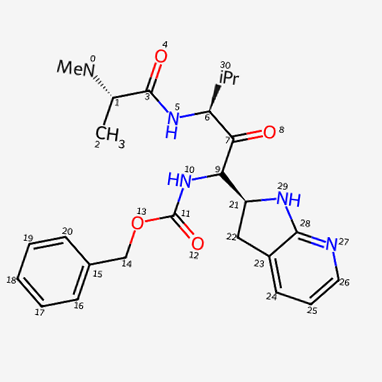 CN[C@@H](C)C(=O)N[C@H](C(=O)C(NC(=O)OCc1ccccc1)[C@@H]1Cc2cccnc2N1)C(C)C